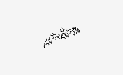 N#Cc1ccc(COc2cc(C3=CCN(Cc4nc5cc(-c6nnc(C(F)(F)F)[nH]6)cnc5n4C[C@@H]4CCO4)CC3)ccc2F)c(F)c1